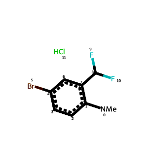 CNc1ccc(Br)cc1C(F)F.Cl